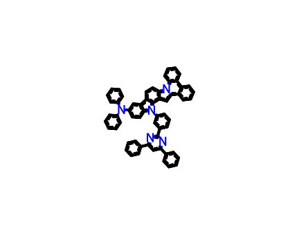 c1ccc(-c2cc(-c3ccccc3)nc(-c3cccc(-n4c5ccc(N(c6ccccc6)c6ccccc6)cc5c5ccc6c(cc7c8ccccc8c8ccccc8n76)c54)c3)n2)cc1